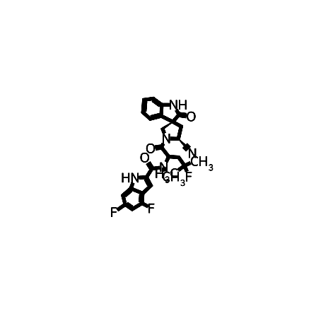 CN(C(=O)c1cc2c(F)cc(F)cc2[nH]1)C(CC(C)(C)F)C(=O)N1C[C@]2(C[C@H]1C#N)C(=O)Nc1ccccc12